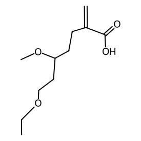 C=C(CCC(CCOCC)OC)C(=O)O